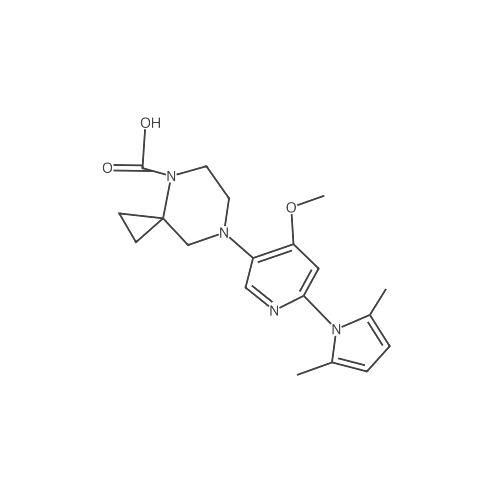 COc1cc(-n2c(C)ccc2C)ncc1N1CCN(C(=O)O)C2(CC2)C1